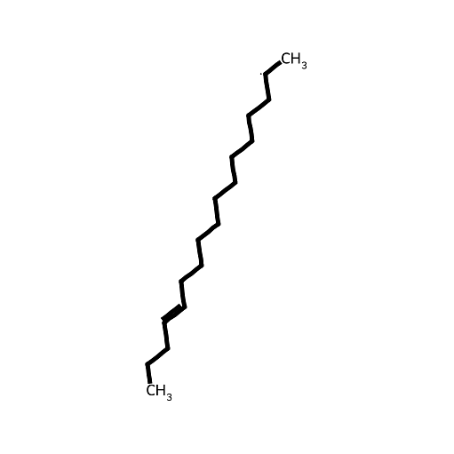 C[CH]CCCCCCCCCC/C=C/CCC